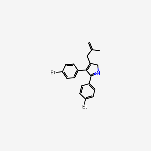 C=C(C)CC1=C(c2ccc(CC)cc2)C(c2ccc(CC)cc2)=NC1